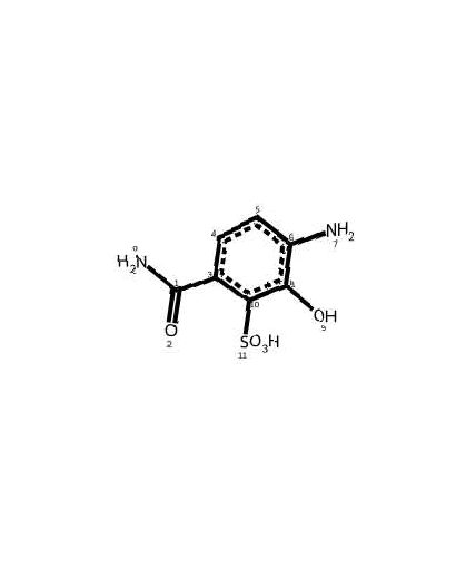 NC(=O)c1ccc(N)c(O)c1S(=O)(=O)O